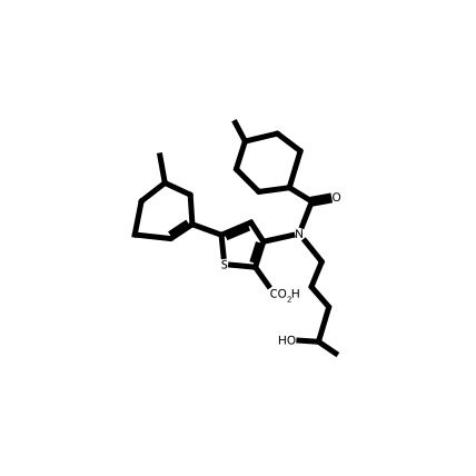 CC(O)CCCN(C(=O)C1CCC(C)CC1)c1cc(C2=CCCC(C)C2)sc1C(=O)O